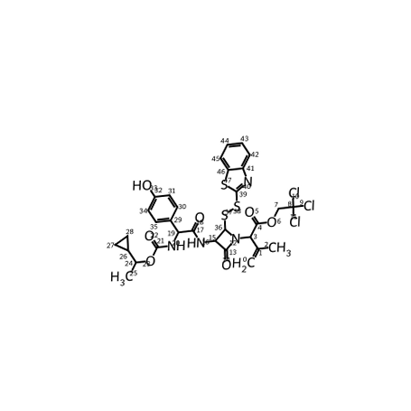 C=C(C)C(C(=O)OCC(Cl)(Cl)Cl)N1C(=O)C(NC(=O)C(NC(=O)OC(C)C2CC2)c2ccc(O)cc2)C1SSc1nc2ccccc2s1